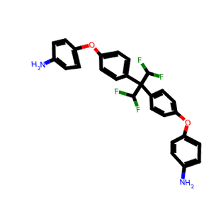 Nc1ccc(Oc2ccc(C(c3ccc(Oc4ccc(N)cc4)cc3)(C(F)F)C(F)F)cc2)cc1